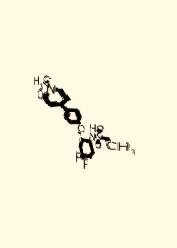 CCS(=O)(=O)N[C@H]1CCC(F)(F)C[C@@H]1COc1ccc(-c2ccn(C)c(=O)c2)cc1